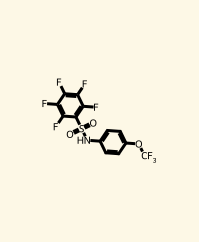 O=S(=O)(Nc1ccc(OC(F)(F)F)cc1)c1c(F)c(F)c(F)c(F)c1F